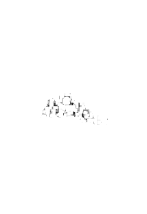 CC(=O)OCc1c(B2OC(C)(C)C(C)(C)O2)cccc1N1Cc2cc(C(C)(C)C)sc2C1=O